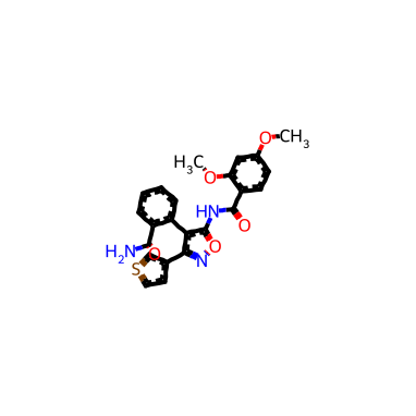 COc1ccc(C(=O)Nc2onc(-c3ccsc3)c2-c2ccccc2C(N)=O)c(OC)c1